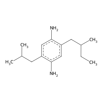 CCC(C)Cc1cc(N)c(CC(C)C)cc1N